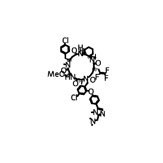 COC[C@@H]1NC(=O)[C@H](C)N(Cc2ccc(Cl)cc2Oc2ccc(-c3cnc(CN(C)C)n3C)cc2)C(=O)C[C@@H](CC(F)=C(F)F)C(=O)N(C)[C@H]2CCCC[C@@H]2NC(=O)C[C@H](Cc2ccc(Cl)cc2)N(C)C1=O